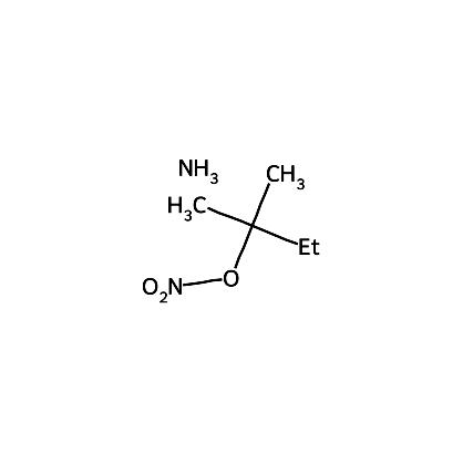 CCC(C)(C)O[N+](=O)[O-].N